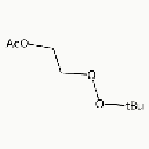 CC(=O)OCCOOC(C)(C)C